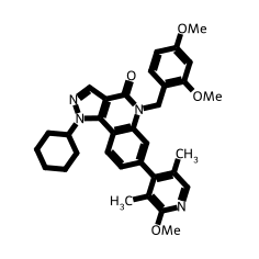 COc1ccc(Cn2c(=O)c3cnn(C4CCCCC4)c3c3ccc(-c4c(C)cnc(OC)c4C)cc32)c(OC)c1